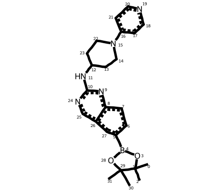 CC1(C)OB(c2ccc3nc(NC4CCN(c5ccncc5)CC4)ncc3c2)OC1(C)C